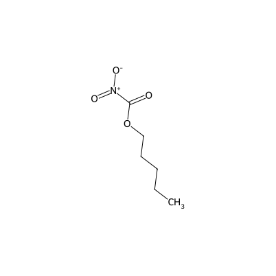 CCCCCOC(=O)[N+](=O)[O-]